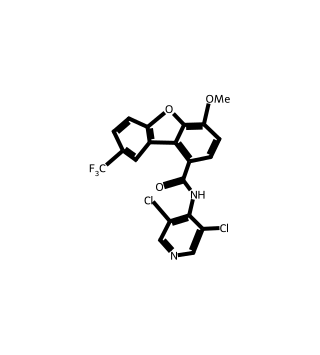 COc1ccc(C(=O)Nc2c(Cl)cncc2Cl)c2c1oc1ccc(C(F)(F)F)cc12